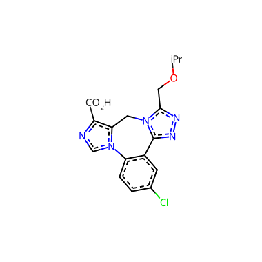 CC(C)OCc1nnc2n1Cc1c(C(=O)O)ncn1-c1ccc(Cl)cc1-2